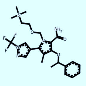 Cc1c(OC(C)c2ccccc2)c(C(N)=O)n(COCC[Si](C)(C)C)c1-c1cnn(C(F)(F)F)c1